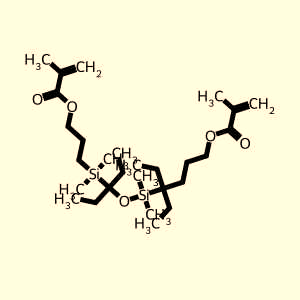 C=C(C)C(=O)OCCCC(CC)(CC)[Si](C)(C)OC(CC)(CC)[Si](C)(C)CCCOC(=O)C(=C)C